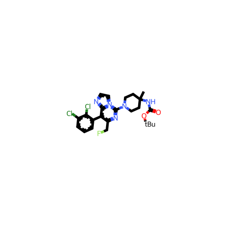 CC1(NC(=O)OC(C)(C)C)CCN(c2nc(CF)c(-c3cccc(Cl)c3Cl)c3nccn23)CC1